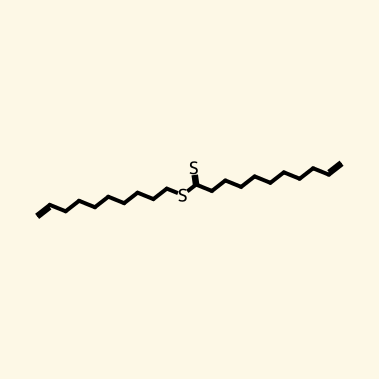 C=CCCCCCCCCSC(=S)CCCCCCCCC=C